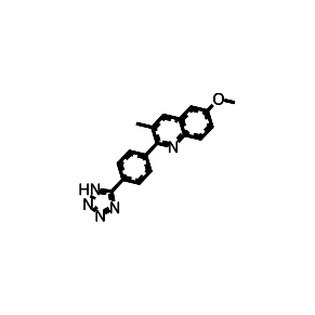 COc1ccc2nc(-c3ccc(-c4nnn[nH]4)cc3)c(C)cc2c1